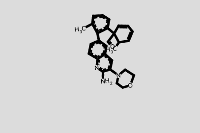 Cc1cccc(C2(C=O)C=CC=CC2C)c1-c1ccc2nc(N)c(N3CCOCC3)cc2c1